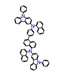 c1ccc(-n2c3ccccc3c3cc(N(c4ccc(-c5cccc6c(N(c7ccc8c(c7)c7ccccc7n8-c7ccccc7)c7cccc8ccccc78)cccc56)cc4)c4cccc5ccccc45)ccc32)cc1